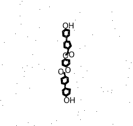 O=C(Oc1ccc(OC(=O)c2ccc(-c3ccc(O)cc3)cc2)cc1)c1ccc(-c2ccc(O)cc2)cc1